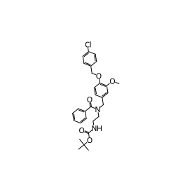 COc1cc(CN(CCNC(=O)OC(C)(C)C)C(=O)c2ccccc2)ccc1OCc1ccc(Cl)cc1